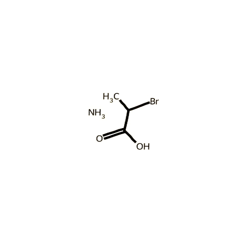 CC(Br)C(=O)O.N